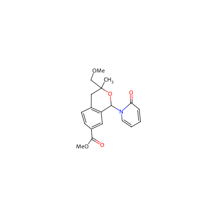 COCC1(C)Cc2ccc(C(=O)OC)cc2C(n2ccccc2=O)O1